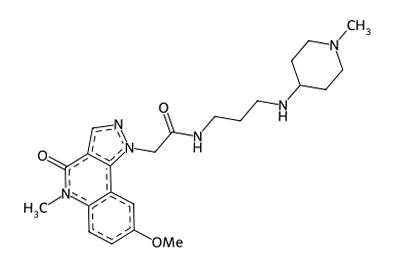 COc1ccc2c(c1)c1c(cnn1CC(=O)NCCCNC1CCN(C)CC1)c(=O)n2C